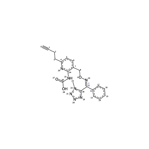 C#CCCc1ccc(CO/N=C(/c2ccccc2)c2nnnn2C)c(NC(=O)O)n1